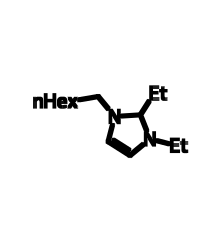 CCCCCCCN1C=CN(CC)C1CC